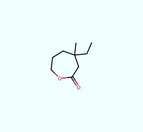 CCC1(C)CCCOC(=O)C1